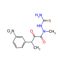 CC(C(=O)C(=O)N(C)NC(N)=S)c1cccc([N+](=O)[O-])c1